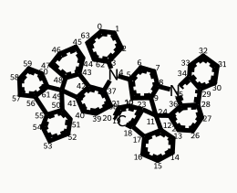 c1ccc(N(c2ccc3c(c2)C2(c4ccccc4-c4ccccc42)c2cccc4c5ccccc5n-3c24)c2cccc3c2-c2ccccc2C32c3ccccc3-c3ccccc32)cc1